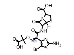 CC(C)(O/N=C(\C(=O)NC1C(=O)N2C(C(=O)O)CS[C@H]12)c1nc(N)sc1Br)C(=O)O